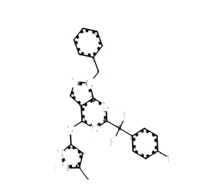 Cc1cc(Nc2nc(C(F)(F)c3ccc(F)cc3)nc3c2cnn3Cc2ccccc2)n[nH]1